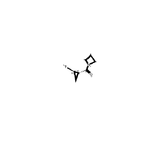 O=C([C@@H]1C[C@H]1F)N1C[CH]C1